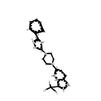 FC(F)(F)c1nnc2ccc(N3CCN(c4noc(-c5ccccc5)n4)CC3)nn12